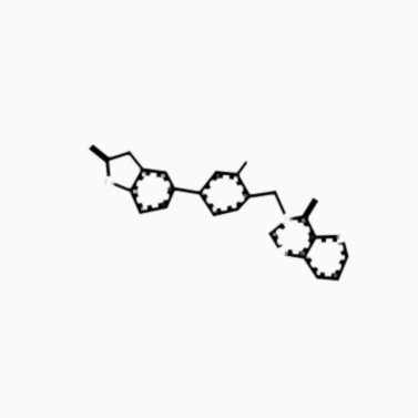 C=C1Cc2cc(-c3ccc(Cn4cnc5cccnc5c4=O)c(F)c3)ccc2N1